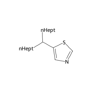 CCCCCCCC(CCCCCCC)c1cncs1